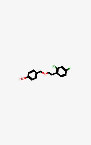 Oc1ccc(COCCc2ccc(F)cc2Br)cc1